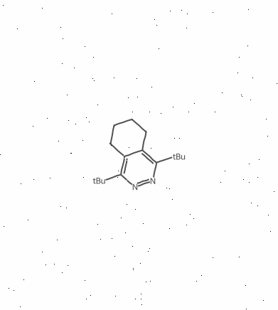 CC(C)(C)c1nnc(C(C)(C)C)c2c1CCCC2